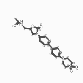 CC(=O)NCC1CN(c2ccc(-c3ccc(N4CCS(=O)(=O)CC4)nc3)nc2)C(=O)O1